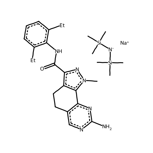 CCc1cccc(CC)c1NC(=O)c1nn(C)c2c1CCc1cnc(N)nc1-2.C[Si](C)(C)[N-][Si](C)(C)C.[Na+]